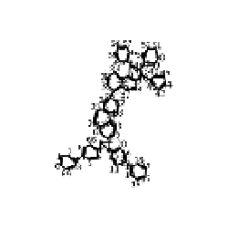 c1ccc(-c2ccc(N(c3ccc(-c4ccccc4)cc3)c3ccc4c(ccc5cc(-c6cccc7c6ccc6c(-c8ccccc8)c(-c8ccccc8)n(-c8ccccc8)c67)ccc54)c3)cc2)cc1